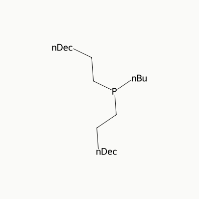 CCCCCCCCCCCCP(CCCC)CCCCCCCCCCCC